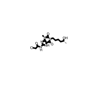 C[C@@H](O)CCCCn1c(=O)c2[nH]c(NC(=O)CCl)nc2n(C)c1=O